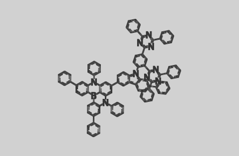 c1ccc(-c2ccc3c(c2)N(c2ccccc2)c2cc(-c4ccc5c(c4)c4ccc(-c6ccccc6)cc4n5-c4ccc(-c5nc(-c6ccccc6)nc(-c6ccccc6)n5)cc4-c4nc(-c5ccccc5)nc(-c5ccccc5)n4)cc4c2B3c2ccc(-c3ccccc3)cc2N4c2ccccc2)cc1